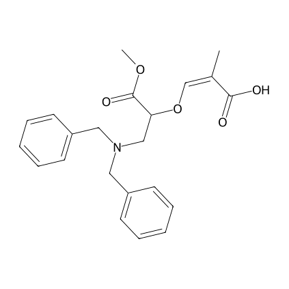 COC(=O)C(CN(Cc1ccccc1)Cc1ccccc1)OC=C(C)C(=O)O